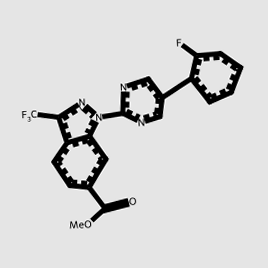 COC(=O)c1ccc2c(C(F)(F)F)nn(-c3ncc(-c4ccccc4F)cn3)c2c1